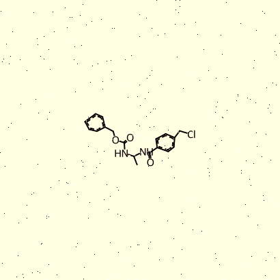 CC(NC(=O)OCc1ccccc1)NC(=O)c1ccc(CCl)cc1